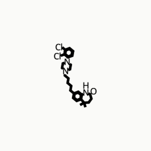 CC1(C)CCC(=O)Nc2cc(CCCCCN3CCN(c4cccc(Cl)c4Cl)CC3)ccc21